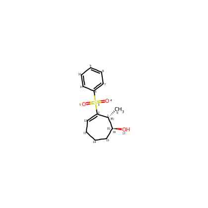 C[C@H]1C(S(=O)(=O)c2ccccc2)=CCCC[C@@H]1O